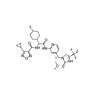 COC[C@H](c1ccnc(NC(=O)C(NC(=O)c2nonc2C2CC2)C2CCC(F)CC2)c1)N1C[C@@H](C(F)(F)F)NC1=O